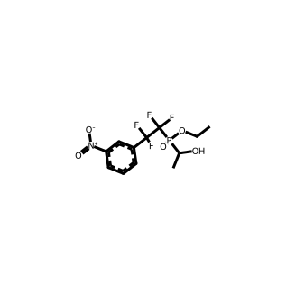 CCOP(=O)(C(C)O)C(F)(F)C(F)(F)c1cccc([N+](=O)[O-])c1